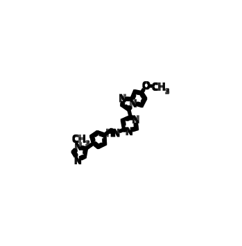 COc1ccn2c(-c3cc(NCc4ccc(-c5cncn5C)cc4)ncn3)cnc2c1